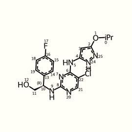 CC(C)Oc1cc(Nc2nc(N[C@@H](CO)c3ccc(F)cc3)ncc2Cl)[nH]n1